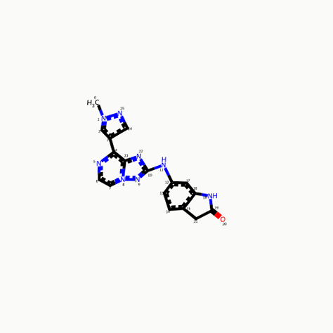 Cn1cc(-c2nccn3nc(Nc4ccc5c(c4)NC(=O)C5)nc23)cn1